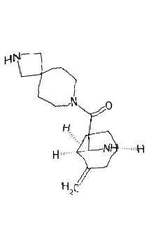 C=C1C[C@@H]2CC[C@H]1[C@@H](C(=O)N1CCC3(CC1)CNC3)N2